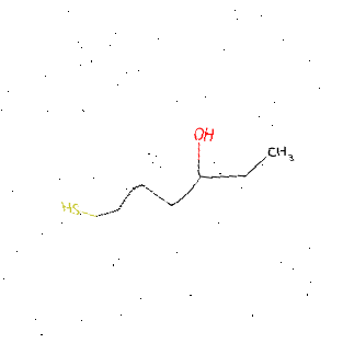 CCC(O)CCCS